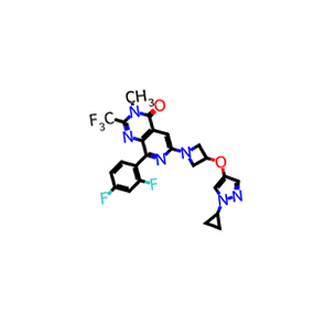 Cn1c(C(F)(F)F)nc2c(-c3ccc(F)cc3F)nc(N3CC(Oc4cnn(C5CC5)c4)C3)cc2c1=O